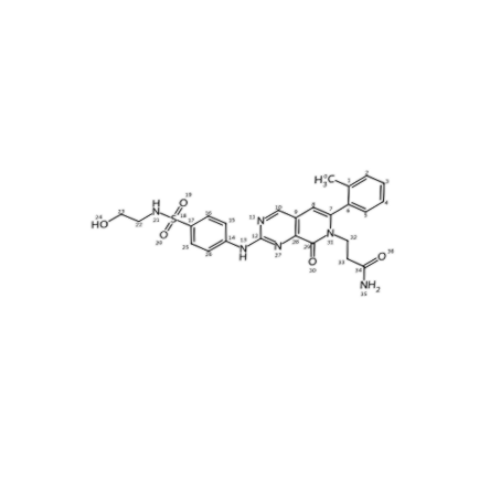 Cc1ccccc1-c1cc2cnc(Nc3ccc(S(=O)(=O)NCCO)cc3)nc2c(=O)n1CCC(N)=O